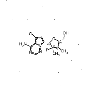 C[C@@H]1[C@@H](CO)O[C@@H](c2cc(Cl)c3c(N)ncnn23)[C@]1(C)F